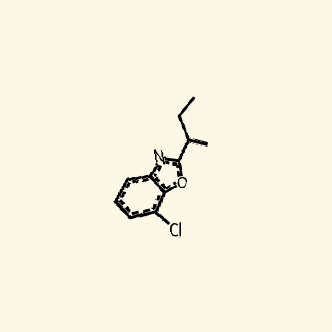 CCC(C)c1nc2cccc(Cl)c2o1